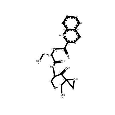 CC(C)CC(NC(=O)[C@H](CO)NC(=O)c1ccc2ccccc2n1)C(=O)C1(CO)CO1